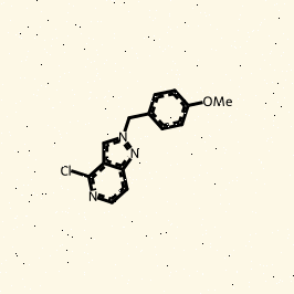 COc1ccc(Cn2cc3c(Cl)nccc3n2)cc1